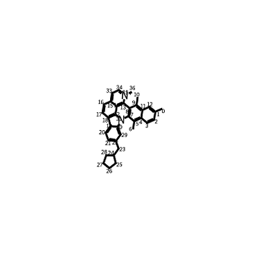 Cc1ccc2c(C)c3c(c(C)c2c1)c1c2c(ccc4c5ccc(CC6CCCC6)cc5n3c42)cc[n+]1C